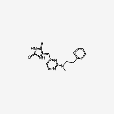 C=c1[nH]c(=O)[nH]/c1=C\c1ccnc(N(C)CCc2ccccc2)n1